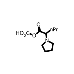 CCCC(C(=O)OC(=O)O)N1CCCC1